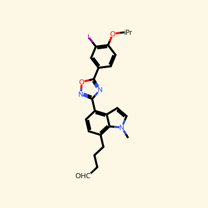 CC(C)Oc1ccc(-c2nc(-c3ccc(CCCC=O)c4c3ccn4C)no2)cc1I